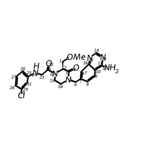 COC[C@H]1C(=O)N(Cc2ccc3c(N)ncnc3c2)CCN1C(=O)CNc1cccc(Cl)c1